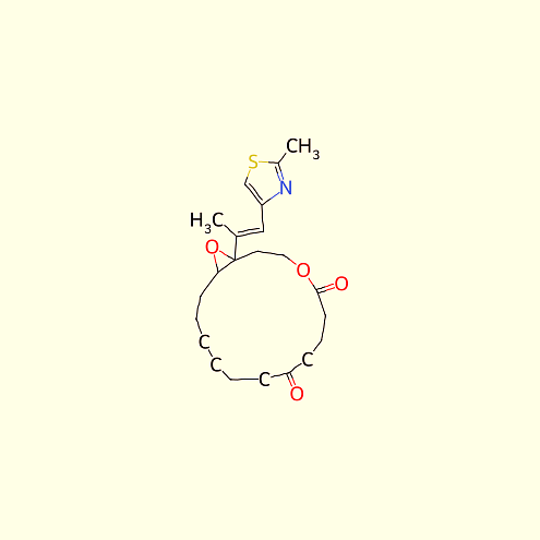 CC(=Cc1csc(C)n1)C12CCOC(=O)CCCC(=O)CCCCCCC1O2